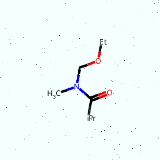 CCOCN(C)C(=O)C(C)C